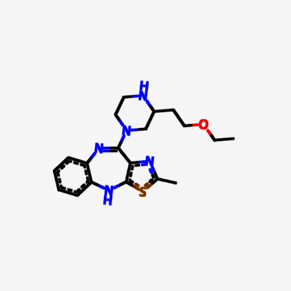 CCOCCC1CN(C2=Nc3ccccc3Nc3sc(C)nc32)CCN1